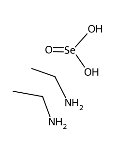 CCN.CCN.O=[Se](O)O